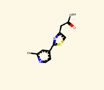 CCc1cc(-c2nc(CC(=O)OC)cs2)ccn1